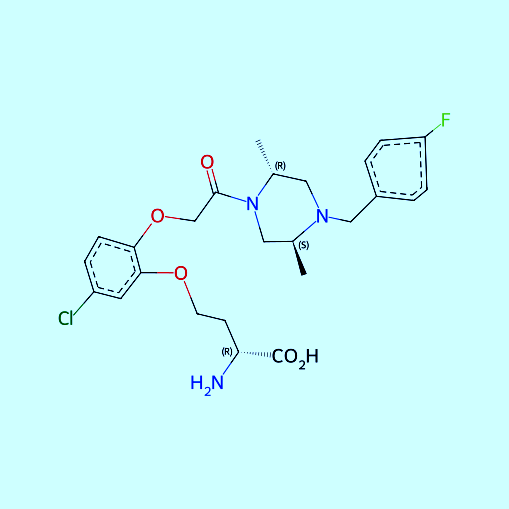 C[C@@H]1CN(Cc2ccc(F)cc2)[C@@H](C)CN1C(=O)COc1ccc(Cl)cc1OCC[C@@H](N)C(=O)O